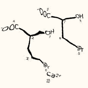 CC(C)CC(O)C(=O)[O-].CC(C)CC(O)C(=O)[O-].[Ca+2]